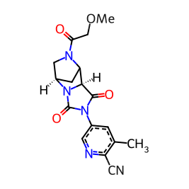 COCC(=O)N1C[C@H]2CC1[C@H]1C(=O)N(c3cnc(C#N)c(C)c3)C(=O)N21